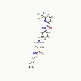 CCCCCNC(=O)C1CCN(Cc2cccc(NC(=O)c3cccc(C(F)(F)F)n3)c2)CC1